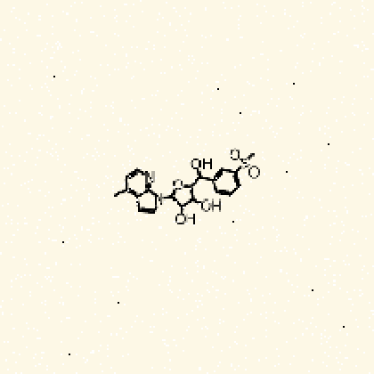 Cc1ccnc2c1ccn2C1OC(C(O)c2cccc(S(C)(=O)=O)c2)C(O)C1O